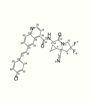 N#CC1(C2CC2)CC(F)(F)CN1C(=O)CNC(=O)c1ccnc2ccc(C=CC3C=CC(Cl)=CC3)cc12